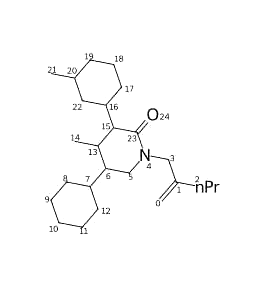 C=C(CCC)CN1CC(C2CCCCC2)C(C)C(C2CCCC(C)C2)C1=O